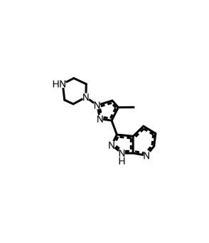 Cc1cn(N2CCNCC2)nc1-c1n[nH]c2ncccc12